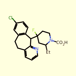 CCC1CC(F)(C2c3ccc(Cl)cc3CCc3cccnc32)CCN1C(=O)O